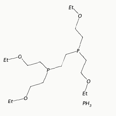 CCOCCP(CCOCC)CCP(CCOCC)CCOCC.P